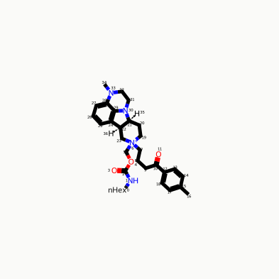 CCCCCCNC(=O)OC[N+]1(CCCC(=O)c2ccc(C)cc2)CC[C@H]2[C@@H](C1)c1cccc3c1N2CCN3C